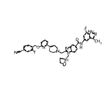 Cc1n[nH]c2c(F)cc(NC(=O)c3ccc4c(c3)nc(CN3CC=C(c5cccc(OCc6ccc(C#N)cc6F)n5)CC3)n4C[C@@H]3CCO3)cc12